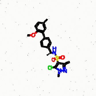 COc1ccc(C)cc1-c1ccc([C@@H](C)NS(=O)(=O)c2c(C)nn(C)c2Cl)cc1